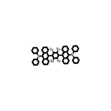 [2H]c1c([2H])c(-c2c3ccccc3c(N(c3ccccc3)c3ccccc3)c3ccccc23)c([2H])c([2H])c1-c1c2ccccc2c(N(c2ccccc2)c2ccccc2)c2ccccc12